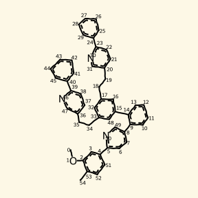 COc1cc(-c2ccc(-c3ccccc3-c3cc(CCc4ccc(-c5ccccc5)nc4)cc(CCc4ccc(-c5ccccc5)nc4)c3)cn2)ccc1C